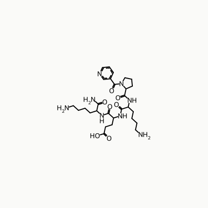 NCCCCC(NC(=O)C(CCC(=O)O)NC(=O)C(CCCCN)NC(=O)C1CCCN1C(=O)c1cccnc1)C(N)=O